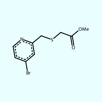 COC(=O)CSCc1cc(Br)ccn1